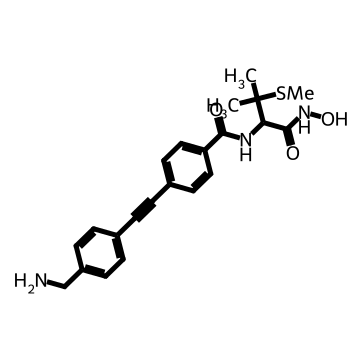 CSC(C)(C)C(NC(=O)c1ccc(C#Cc2ccc(CN)cc2)cc1)C(=O)NO